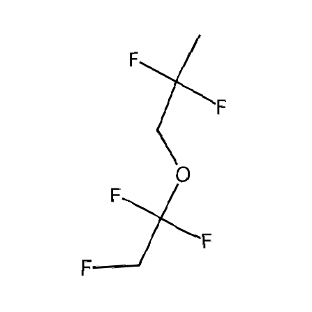 CC(F)(F)COC(F)(F)CF